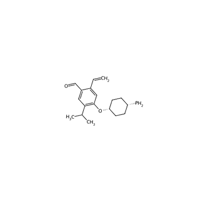 C=Cc1cc(O[C@H]2CC[C@@H](P)CC2)c(C(C)C)cc1C=O